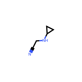 N#CCNC1CC1